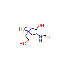 C[N+](CCO)(CCO)CCNC=O